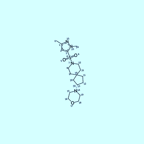 Cc1cc(S(=O)(=O)N2CCC3(CC[C@H](N4CCOCC4)C3)CC2)n(C)n1